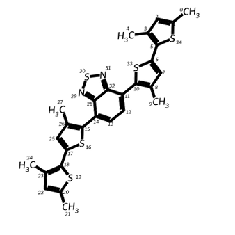 Cc1cc(C)c(-c2cc(C)c(-c3ccc(-c4sc(-c5sc(C)cc5C)cc4C)c4nsnc34)s2)s1